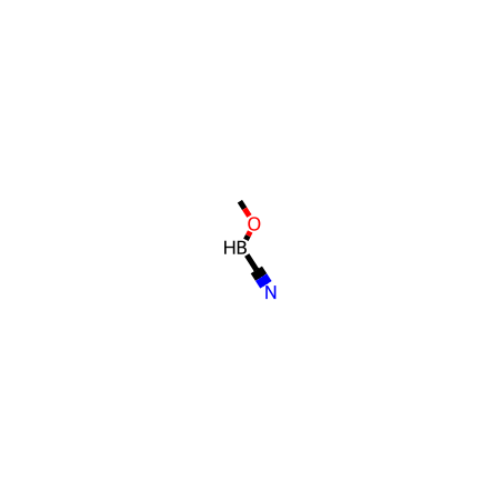 COBC#N